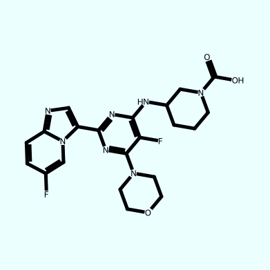 O=C(O)N1CCCC(Nc2nc(-c3cnc4ccc(F)cn34)nc(N3CCOCC3)c2F)C1